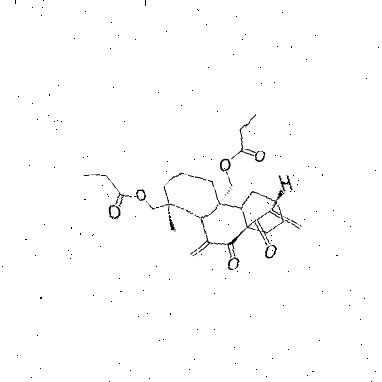 C=C1C(=O)[C@@]23CC[C@@H](CC2[C@]2(COC(=O)CC)CCC[C@@](C)(COC(=O)CC)C12)C(=C)C3=O